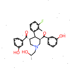 Cc1c(F)cccc1C1[C@@H](C(=O)c2cccc(O)c2)CN(C[C@H](C)O)C[C@@H]1C(=O)c1cccc(O)c1